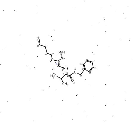 CC(C)[C@H](N/C=C(\N=N)OCCCC=O)C(=O)OCc1ccccc1